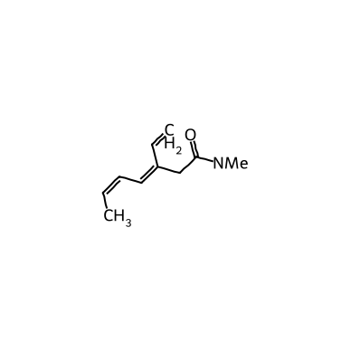 C=C/C(=C\C=C/C)CC(=O)NC